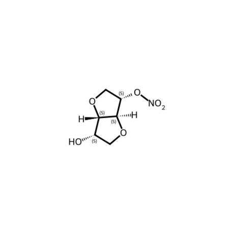 O=[N+]([O-])O[C@H]1CO[C@@H]2[C@@H]1OC[C@@H]2O